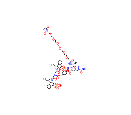 CC(C)C(NC(=O)CCOCCOCCOCCOCCOCCOCCN1C(=O)C=CC1=O)C(=O)NC(CCCNC(N)=O)C(=O)Nc1ccc(COC(=O)N(CC(=O)N2CC(CCl)c3c2cc(OP(=O)(O)O)c2ccccc32)CC(=O)N2CC(CCl)c3c2cc(OP(=O)(O)O)c2ccccc32)cc1